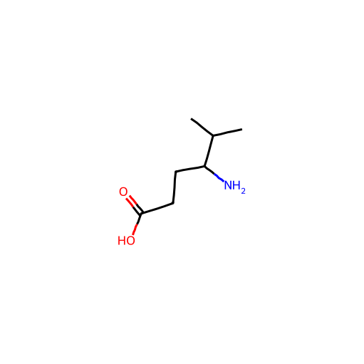 CC(C)C(N)CCC(=O)O